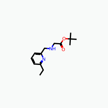 CCc1cccc(CNCC(=O)OC(C)(C)C)n1